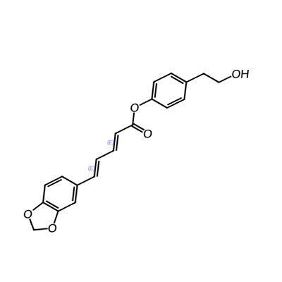 O=C(/C=C/C=C/c1ccc2c(c1)OCO2)Oc1ccc(CCO)cc1